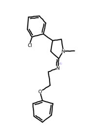 CN1CC(c2ccccc2Cl)C/C1=N\CCOc1ccccc1